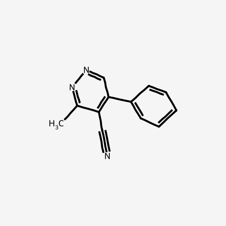 Cc1nncc(-c2ccccc2)c1C#N